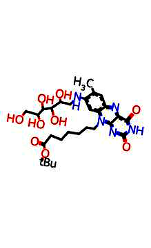 Cc1cc2nc3c(=O)[nH]c(=O)nc-3n(CCCCCCC(=O)OC(C)(C)C)c2cc1NCC(O)C(O)C(O)C(O)CO